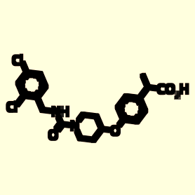 CC(C(=O)O)c1ccc(OC2CCN(C(=O)NCc3ccc(Cl)cc3Cl)CC2)cc1